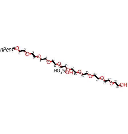 CCCCCOCCOCCOCCOCCOCCOCCOCCOCCOCCOCCO.O=S(=O)(O)O